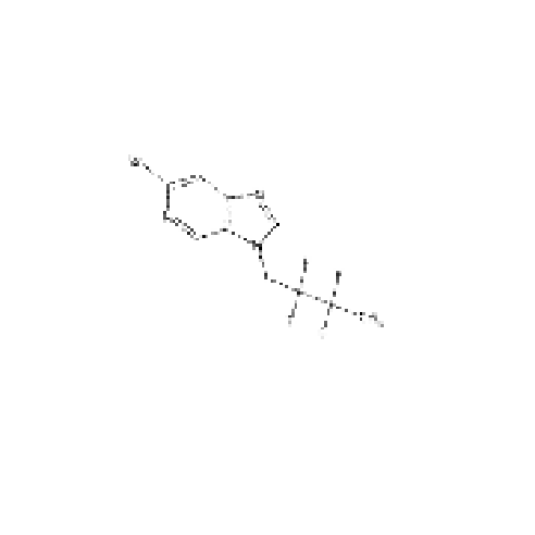 CC(F)(F)C(F)(F)Cn1cnc2cc(Br)ncc21